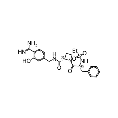 CCS(=O)(=O)N[C@H](Cc1ccccc1)C(=O)N1CC[C@H]1C(=O)NCc1ccc(C(=N)N)c(O)c1